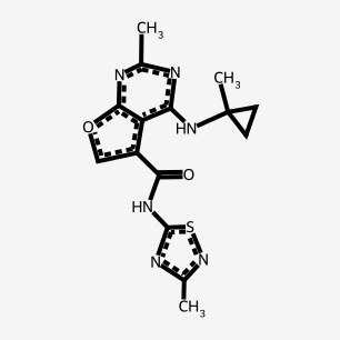 Cc1nsc(NC(=O)c2coc3nc(C)nc(NC4(C)CC4)c23)n1